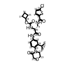 O=C(N[C@H](CNC(=O)c1ccc(Cl)s1)C(=O)Nc1ccc(N2CCOCC2=O)c(C(F)F)c1)OC1CCC1